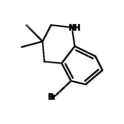 CC1(C)CNc2cccc(Br)c2C1